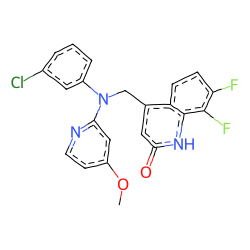 COc1ccnc(N(Cc2cc(=O)[nH]c3c(F)c(F)ccc23)c2cccc(Cl)c2)c1